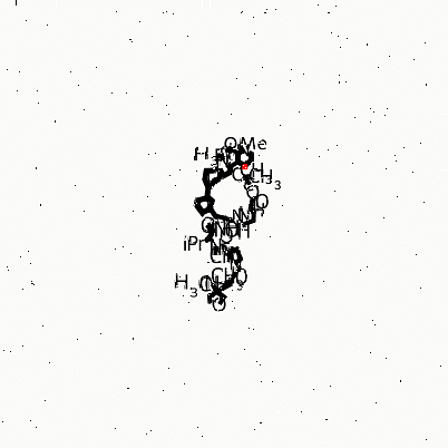 CCn1c(-c2cccnc2[C@H](C)OC)c2c3cc(ccc31)-c1cccc(c1)C[C@H](NC(=O)C(C(C)C)N(C)C(=O)[C@H]1CCN(C(=O)C#CC3(N(C)C)CCOC3)C1)C(=O)N1CCC[C@H](N1)C(=O)OCC(C)(C)C2